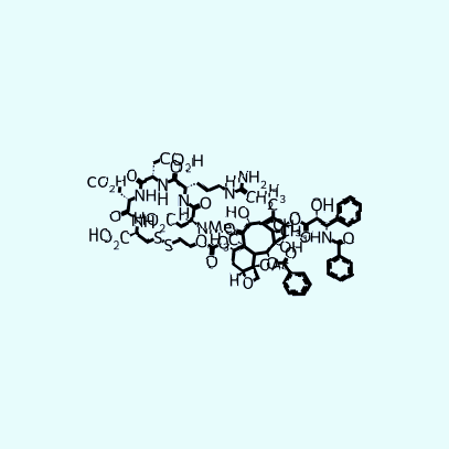 C=C(N)NCCC[C@H](NC(=O)[C@H](CC(=O)O)NC)C(=O)N[C@@H](CC(=O)O)C(=O)N[C@@H](CC(=O)O)C(=O)N[C@@H](CSSCCOC(=O)O[C@H]1C[C@H]2OC[C@@]2(OC(C)=O)C2[C@H](OC(=O)c3ccccc3)[C@]3(O)C[C@H](OC(=O)[C@H](O)[C@@H](NC(=O)c4ccccc4)c4ccccc4)C(C)=C([C@@H](O)C(=O)[C@@]21C)C3(C)C)C(=O)O